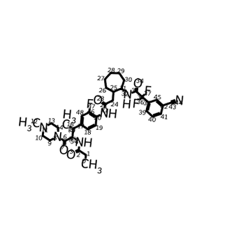 CCC(=O)N[C@@H](C(=O)N1CCN(C)CC1)[C@@H](C)c1ccc(NC(=O)CC2CCCCCC2NC(=O)C(F)(F)c2cccc(C#N)c2)c(F)c1